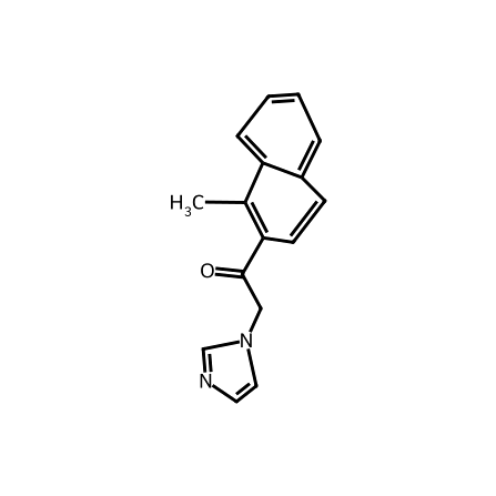 Cc1c(C(=O)Cn2ccnc2)ccc2ccccc12